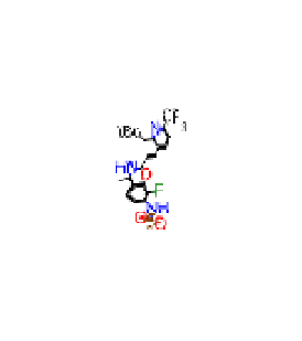 CCC(C)Cc1nc(C(F)(F)F)ccc1C=CC(=O)N[C@H](C)c1ccc(NS(C)(=O)=O)c(F)c1